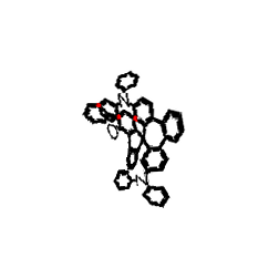 c1ccc(N(c2ccccc2)c2ccc3c(c2)C2(c4cc(N(c5ccccc5)c5ccccc5)ccc4-c4ccccc4-3)c3ccccc3-c3c2ccc2c3oc3ccccc32)cc1